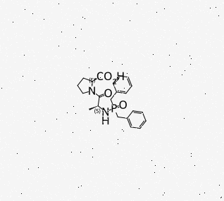 C[C@H](NP(=O)(Cc1ccccc1)Cc1ccccc1)C(=O)N1CCC[C@H]1C(=O)O